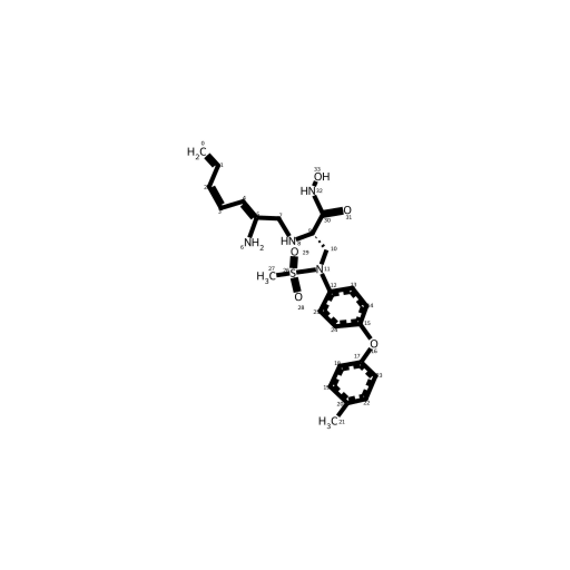 C=C/C=C\C=C(/N)CN[C@@H](CN(c1ccc(Oc2ccc(C)cc2)cc1)S(C)(=O)=O)C(=O)NO